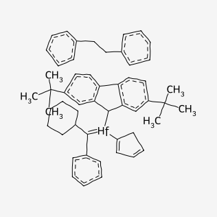 CC(C)(C)c1ccc2c(c1)[CH](/[Hf]([C]1=CC=CC1)=[C](/c1ccccc1)C1CCCCC1)c1cc(C(C)(C)C)ccc1-2.c1ccc(CCc2ccccc2)cc1